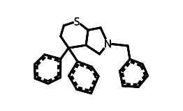 c1ccc(CN2CC3SCCC(c4ccccc4)(c4ccccc4)C3C2)cc1